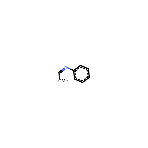 CO/C=N\c1ccccc1